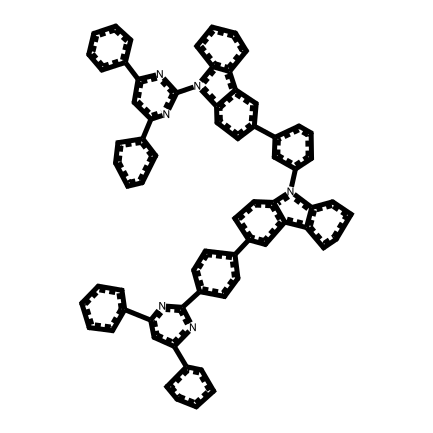 c1ccc(-c2cc(-c3ccccc3)nc(-c3ccc(-c4ccc5c(c4)c4ccccc4n5-c4cccc(-c5ccc6c(c5)c5ccccc5n6-c5nc(-c6ccccc6)cc(-c6ccccc6)n5)c4)cc3)n2)cc1